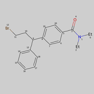 CCN(CC)C(=O)c1ccc(C(CCBr)c2ccccc2)cc1